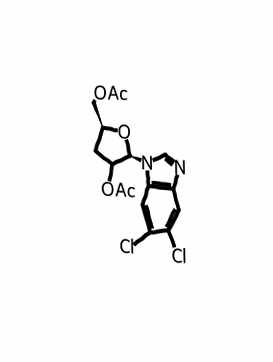 CC(=O)OC[C@@H]1CC(OC(C)=O)[C@H](n2cnc3cc(Cl)c(Cl)cc32)O1